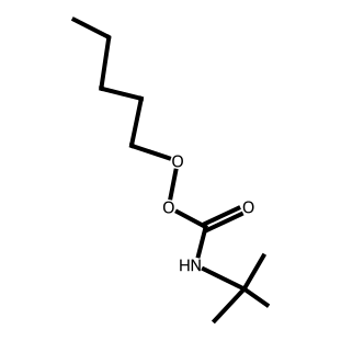 CCCCCOOC(=O)NC(C)(C)C